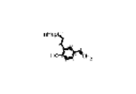 C=Cc1ccc(O)c(CCCCCCCCC)c1